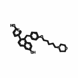 Oc1ccc(-c2ccc3cc(O)ccc3c2Cc2ccc(OCCCCCN3CCOCC3)cc2)cc1